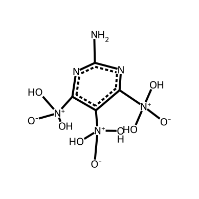 Nc1nc([N+]([O-])(O)O)c([N+]([O-])(O)O)c([N+]([O-])(O)O)n1